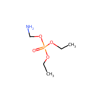 CCOP(=O)(OCC)OCN